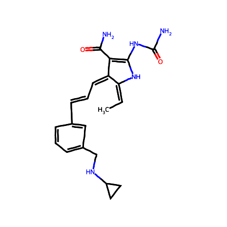 C/C=c1/[nH]c(NC(N)=O)c(C(N)=O)/c1=C/C=C/c1cccc(CNC2CC2)c1